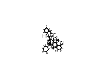 N=C/C(=C(\Nc1ccccc1F)C(F)(F)F)c1onc(-c2c(F)cccc2Cl)c1C(=O)NC1CCCCC1